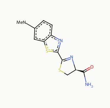 CNc1ccc2nc(C3=N[C@@H](C(N)=O)CS3)sc2c1